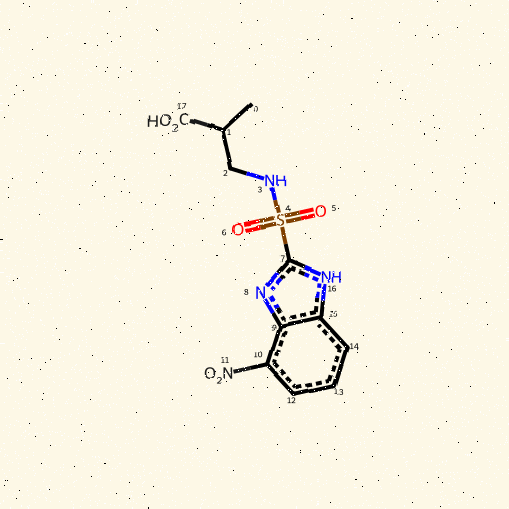 CC(CNS(=O)(=O)c1nc2c([N+](=O)[O-])cccc2[nH]1)C(=O)O